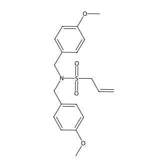 C=CCS(=O)(=O)N(Cc1ccc(OC)cc1)Cc1ccc(OC)cc1